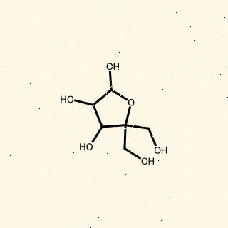 OCC1(CO)OC(O)C(O)C1O